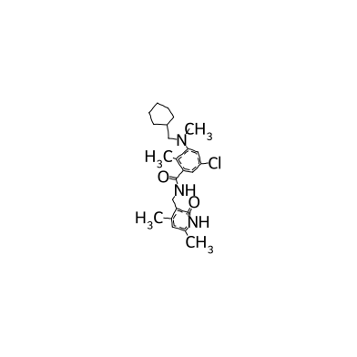 Cc1cc(C)c(CNC(=O)c2cc(Cl)cc(N(C)CC3CCCCC3)c2C)c(=O)[nH]1